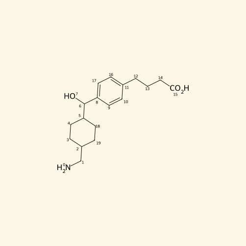 NCC1CCC(C(O)c2ccc(CCCC(=O)O)cc2)CC1